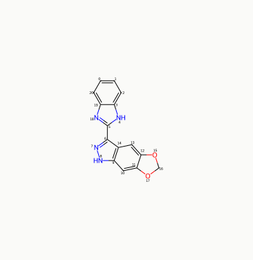 c1ccc2[nH]c(-c3n[nH]c4cc5c(cc34)OCO5)nc2c1